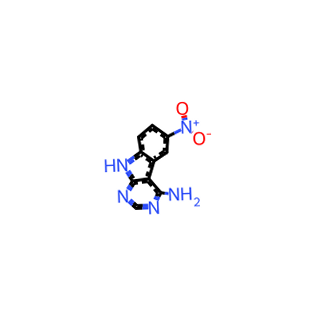 Nc1ncnc2[nH]c3ccc([N+](=O)[O-])cc3c12